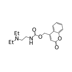 CCN(CC)CCNC(=O)OCc1cc(=O)oc2ccccc12